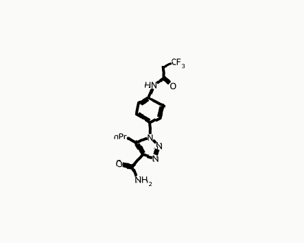 CCCc1c(C(N)=O)nnn1-c1ccc(NC(=O)CC(F)(F)F)cc1